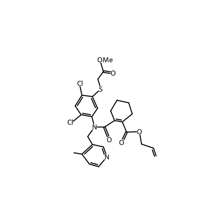 C=CCOC(=O)C1=C(C(=O)N(Cc2cnccc2C)c2cc(SCC(=O)OC)c(Cl)cc2Cl)CCCC1